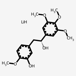 COc1ccc(C[C@@H](O)c2cc(OC)c(OC)c(OC)c2)cc1O.[LiH]